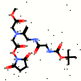 C=C(CNC(=O)CNC(=O)OC(C)(C)C)N(CC(=O)OC)CC(=O)ON1C(=O)CCC1=O